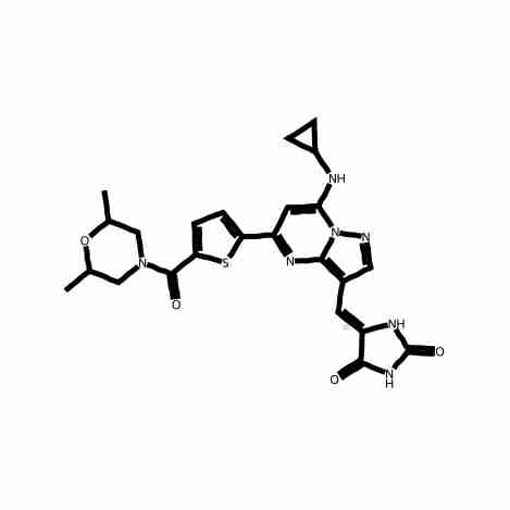 CC1CN(C(=O)c2ccc(-c3cc(NC4CC4)n4ncc(/C=C5\NC(=O)NC5=O)c4n3)s2)CC(C)O1